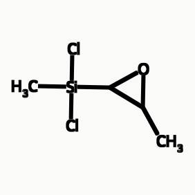 CC1OC1[Si](C)(Cl)Cl